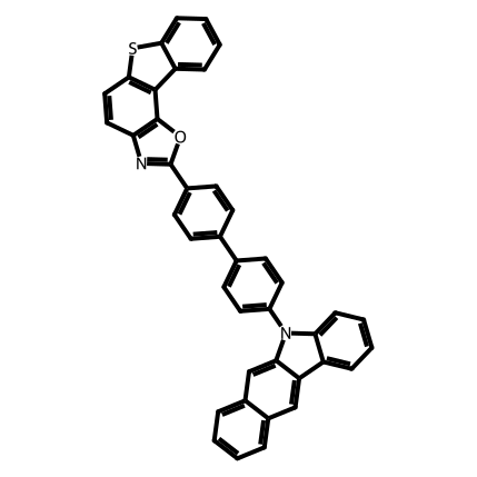 c1ccc2cc3c(cc2c1)c1ccccc1n3-c1ccc(-c2ccc(-c3nc4ccc5sc6ccccc6c5c4o3)cc2)cc1